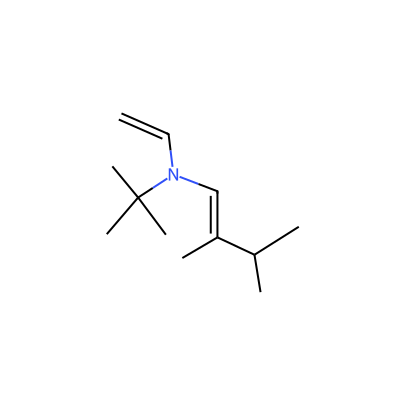 C=CN(/C=C(\C)C(C)C)C(C)(C)C